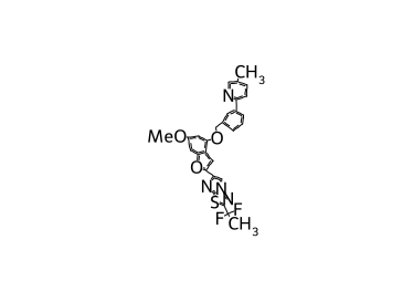 COc1cc(OCc2cccc(-c3ccc(C)cn3)c2)c2cc(-c3cn4nc(C(C)(F)F)sc4n3)oc2c1